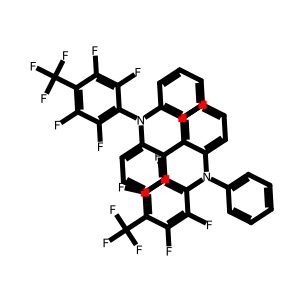 Fc1c(F)c(C(F)(F)F)c(F)c(F)c1N(c1ccccc1)c1ccccc1-c1ccccc1N(c1ccccc1)c1c(F)c(F)c(C(F)(F)F)c(F)c1F